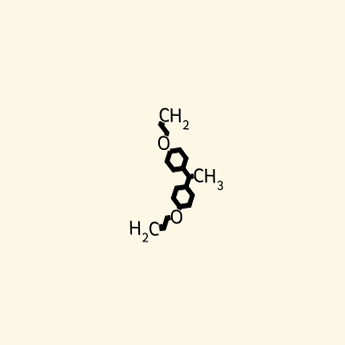 C=CCOC1CCC(C(C)C2CCC(OCC=C)CC2)CC1